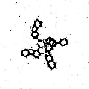 c1ccc(-c2ccc(C3N=C(c4ccc5oc6ccccc6c5c4)N=C(c4c(-n5c6cc7ccccc7cc6c6cc7ccccc7cc65)ccc5c4oc4ccccc45)N3)cc2)cc1